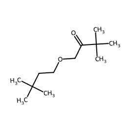 CC(C)(C)CCOCC(=O)C(C)(C)C